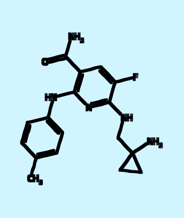 Cc1ccc(Nc2nc(NCC3(N)CC3)c(F)cc2C(N)=O)cc1